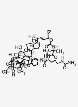 C=C1/C(=C\C=C2/CCC[C@@]3(C)C2CCC3[C@@H](C)/C=C/C(OC(=O)NC(C)(C)C(=O)NC(CCCNC(N)=O)C(=O)Nc2ccc(COC(=O)O[C@@H]([C@@]34C[C@@]5(C)CCC6=C(COC6=O)[C@@H]5C[C@@H]3O4)[C@@](O)(C[C@H]3CO3)C(C)C)cc2)C2CC2)C[C@@H](O)C[C@@H]1O